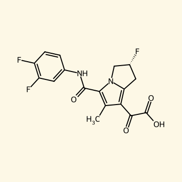 Cc1c(C(=O)C(=O)O)c2n(c1C(=O)Nc1ccc(F)c(F)c1)C[C@H](F)C2